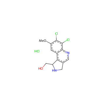 COc1cc2c3c(cnc2c(Cl)c1Cl)CNC3CO.Cl